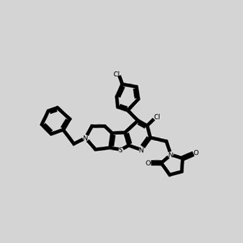 O=C1CCC(=O)N1Cc1nc2sc3c(c2c(-c2ccc(Cl)cc2)c1Cl)CCN(Cc1ccccc1)C3